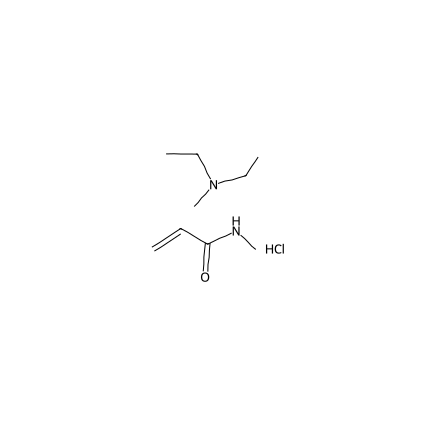 C=CC(=O)NC.CCN(C)CC.Cl